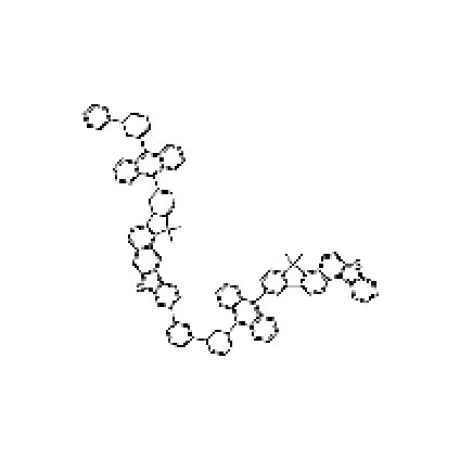 CC1(C)C2=CC=C(c3c4ccccc4c(C4=CC=CC(c5ccccc5)C4)c4ccccc34)CC2c2ccc3cc4sc5cc(-c6cccc(C7C=CC=C(c8c9ccccc9c(-c9ccc%10c(c9)-c9ccc%11c(ccc%12sc%13ccccc%13c%12%11)c9C%10(C)C)c9ccccc89)C7)c6)ccc5c4cc3c21